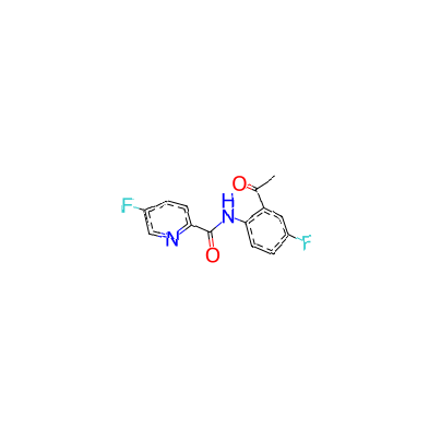 CC(=O)c1cc(F)ccc1NC(=O)c1ccc(F)cn1